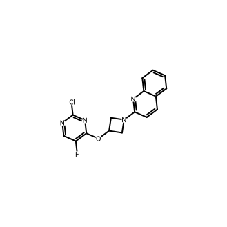 Fc1cnc(Cl)nc1OC1CN(c2ccc3ccccc3n2)C1